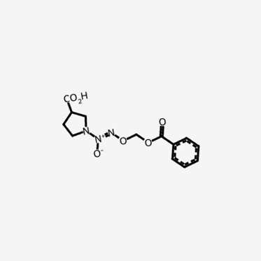 O=C(OCON=[N+]([O-])N1CCC(C(=O)O)C1)c1ccccc1